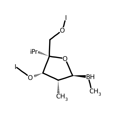 CB[C@@H]1O[C@@](COI)(C(C)C)[C@@H](OI)[C@H]1C